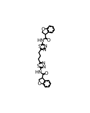 O=C(Nc1nnc(CCCc2nnc(NC(=O)C3COc4ccccc43)s2)s1)C1COc2ccccc21